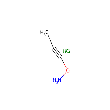 CC#CON.Cl